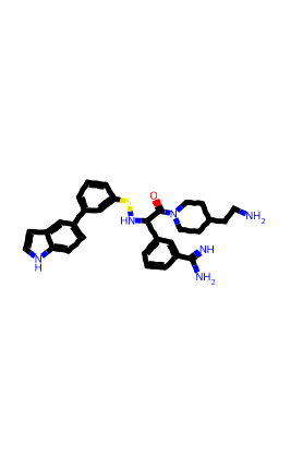 N=C(N)c1cccc(C(NSc2cccc(-c3ccc4[nH]ccc4c3)c2)C(=O)N2CCC(CCN)CC2)c1